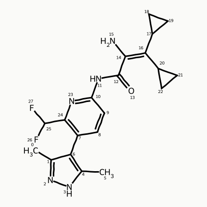 Cc1n[nH]c(C)c1-c1ccc(NC(=O)C(N)=C(C2CC2)C2CC2)nc1C(F)F